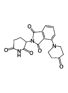 O=C1CCN(c2cccc3c2C(=O)N(C2CCC(=O)NC2=O)C3=O)CC1